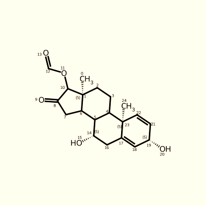 C[C@]12CCC3C(C1CC(=O)C2OC=O)[C@@H](O)CC1=C[C@@H](O)C=C[C@@]13C